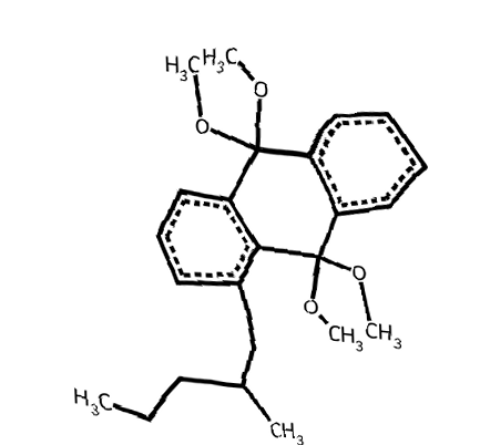 CCCC(C)Cc1cccc2c1C(OC)(OC)c1ccccc1C2(OC)OC